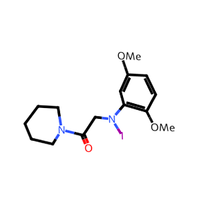 COc1ccc(OC)c(N(I)CC(=O)N2CCCCC2)c1